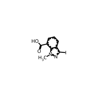 Cn1nc(I)c2cccc(C(=O)O)c21